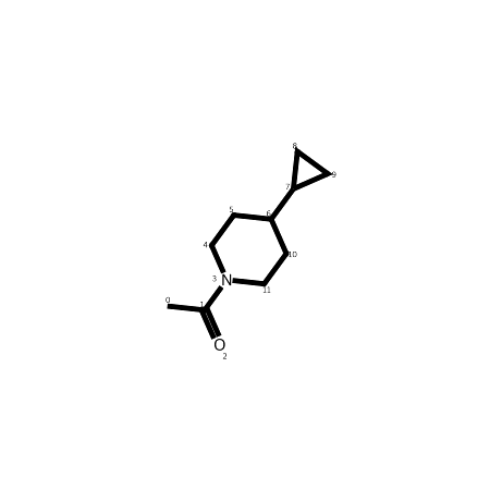 CC(=O)N1CCC(C2CC2)CC1